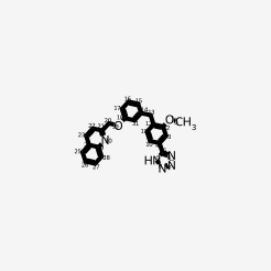 COc1cc(-c2nnn[nH]2)ccc1Cc1cccc(OCc2ccc3ccccc3n2)c1